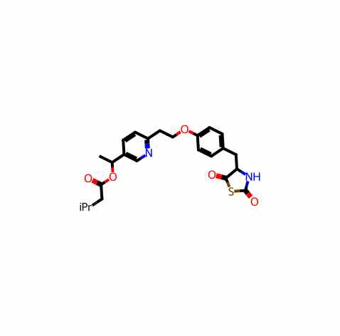 CC(C)CC(=O)OC(C)c1ccc(CCOc2ccc(CC3NC(=O)SC3=O)cc2)nc1